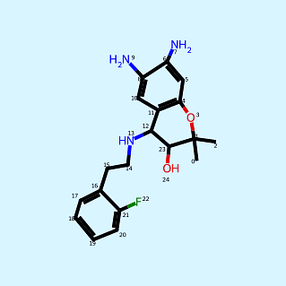 CC1(C)Oc2cc(N)c(N)cc2C(NCCc2ccccc2F)C1O